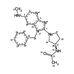 CNc1cnc2nc(N3CC[C@@H](NC(C)=O)C3)n(Cc3ccccc3)c2c1